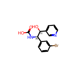 O=C(O)N[C@H](c1cccc(Br)c1)[C@@H](O)c1cccnc1